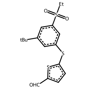 CCS(=O)(=O)c1cc(Sc2ccc(C=O)s2)cc(C(C)(C)C)c1